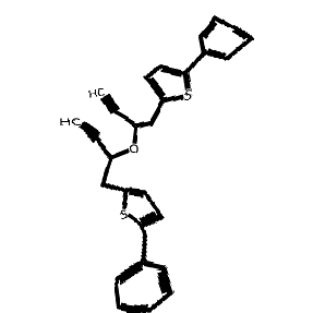 C#CC(Cc1ccc(-c2ccccc2)s1)OC(C#C)Cc1ccc(-c2ccccc2)s1